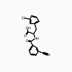 N#Cc1cccc(C(=O)NC(Cc2cccc(Cl)c2)C(=O)O)c1